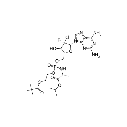 CC(C)OC(=O)[C@@H](C)N[P@](=O)(OCCSC(=O)C(C)(C)C)OC[C@H]1O[C@@H](n2cnc3c(N)nc(N)nc32)[C@](F)(Cl)[C@@H]1O